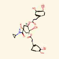 O=C(/C=C/c1ccc(O)c(O)c1)O[C@@H]1CC(O)(C(=O)NC2CC2)C[C@@H](OC(=O)/C=C/c2ccc(O)c(O)c2)C1O